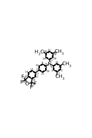 Cc1cc(C)cc(N(c2ccc(-c3ccc4c(c3)C(F)(F)OC4(F)F)cc2)c2cc(C)cc(C)c2)c1